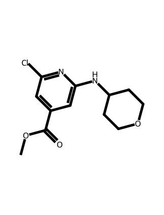 COC(=O)c1cc(Cl)nc(NC2CCOCC2)c1